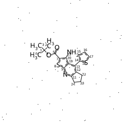 CC(C)(C)OC(=O)c1sc2nc3c(c(-c4cccs4)c2c1N)CCC3